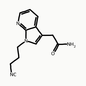 [C-]#[N+]CCCn1cc(CC(N)=O)c2cccnc21